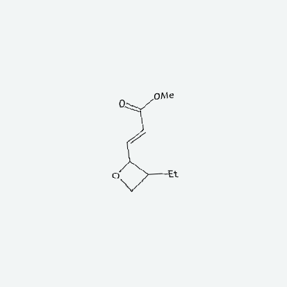 CCC1COC1C=CC(=O)OC